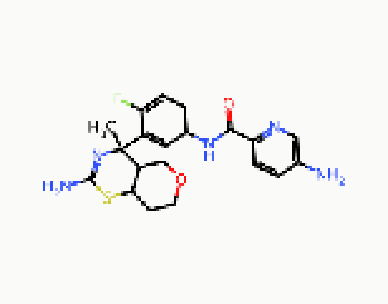 C[C@]1(C2=CC(NC(=O)c3ccc(N)cn3)CC=C2F)N=C(N)SC2CCOCC21